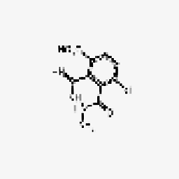 N=C(N)c1c(C(=O)O)ccc(Cl)c1C(=O)NN